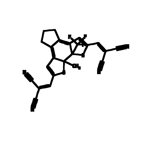 CC12SC(C=C(C#N)C#N)=CC1=C1CCCC1=C1C=C(C=C(C#N)C#N)SC12C(F)(F)F